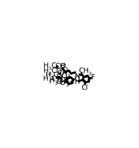 COc1ccc(OCc2c(Cl)cc(F)cc2[C@H](C)NCCCC(O[Si](C)(C)C(C)(C)C)C(=O)OC(C)(C)C)cc1